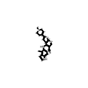 Cc1c(Nc2c(C#N)cnc3sc(C4=CCN(C)CC4)cc23)ccc2[nH]ccc12